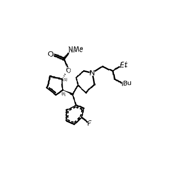 CCC(C)CC(CC)CN1CCC(C(c2cccc(F)c2)[C@H]2C=CC[C@@H]2OC(=O)NC)CC1